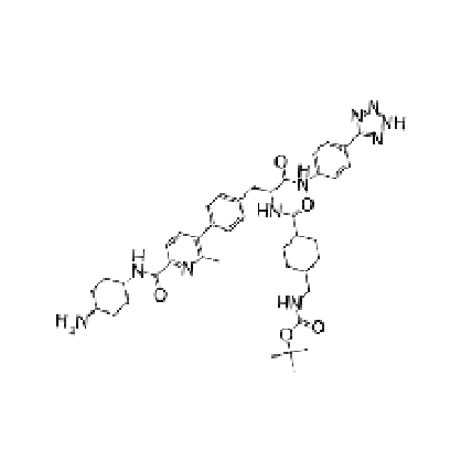 Cc1nc(C(=O)N[C@H]2CC[C@H](N)CC2)ccc1-c1ccc(C[C@H](NC(=O)C2CCC(CNC(=O)OC(C)(C)C)CC2)C(=O)Nc2ccc(-c3nn[nH]n3)cc2)cc1